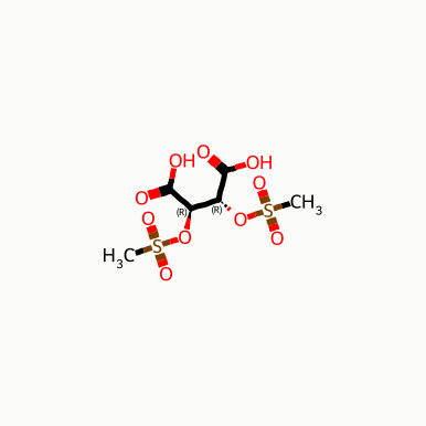 CS(=O)(=O)O[C@@H](C(=O)O)[C@@H](OS(C)(=O)=O)C(=O)O